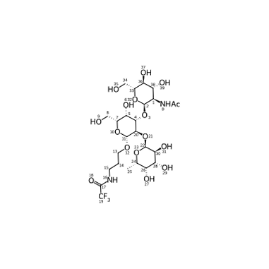 CC(=O)N[C@H]1[C@@H](O[C@H]2[C@@H](O)[C@@H](CO)O[C@@H](OCCCNC(=O)C(F)(F)F)[C@@H]2O[C@@H]2O[C@@H](C)[C@@H](O)[C@@H](O)[C@@H]2O)O[C@H](CO)[C@@H](O)[C@@H]1O